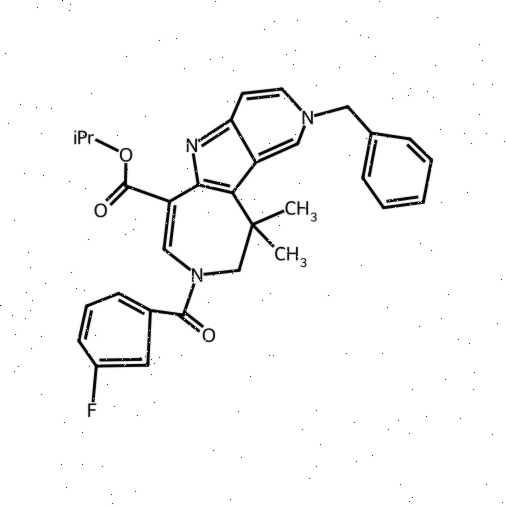 CC(C)OC(=O)C1=CN(C(=O)c2cccc(F)c2)CC(C)(C)c2c3cn(Cc4ccccc4)ccc-3nc21